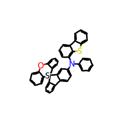 c1ccc(N(c2ccc3c(c2)[Si]2(c4ccccc4Oc4ccccc42)c2ccccc2-3)c2cccc3c2sc2ccccc23)cc1